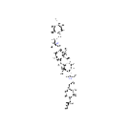 COSc1ccc(CC/C(C)=C/c2ccc3cc4c(C)c(/C=C(\C)CCc5ccc(C)cc5)ccc4cc3c2C)cc1